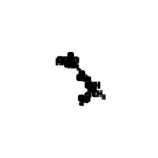 Cc1sc(NC(=O)CN2CCN(C(=O)OCCCCNc3cccc4c3C(=O)N(C3CCC(=O)NC3=O)C4=O)CC2)nc1-c1ccc2c(c1)CCN2C(=O)C1CC1